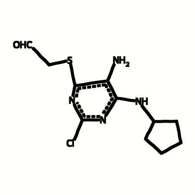 Nc1c(NC2CCCC2)nc(Cl)nc1SCC=O